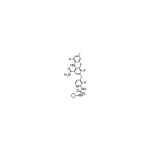 Cc1ccc(Nc2c(C(N)=O)cc(Cc3ccnc(NS(=O)(=O)NC4CCC4)c3F)c(F)c2F)c(F)c1